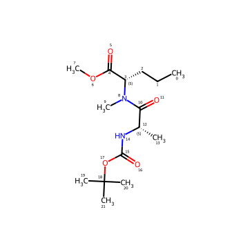 CCC[C@@H](C(=O)OC)N(C)C(=O)[C@H](C)NC(=O)OC(C)(C)C